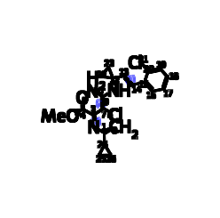 C=C(/N=C(C(=O)OC)\C(Cl)=C(/N)NC1(/C=C/c2ccccc2Cl)CC1)C1CC1